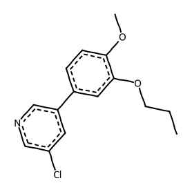 CCCOc1cc(-c2cncc(Cl)c2)ccc1OC